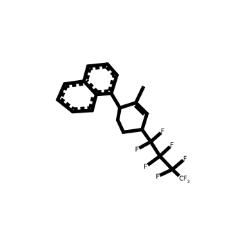 CC1=[C]C(C(F)(F)C(F)(F)C(F)(F)C(F)(F)F)CCC1c1cccc2ccccc12